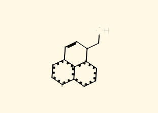 OCC1C=Cc2cccc3cccc1c23